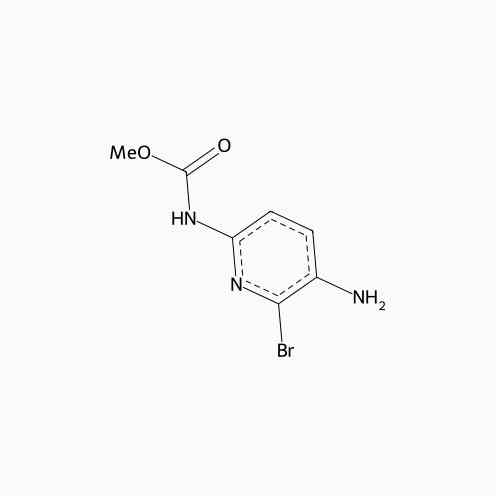 COC(=O)Nc1ccc(N)c(Br)n1